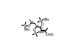 CC(C=O)=C[C@H](O[Si](C)(C)C(C)(C)C)[C@H](C[C@H](C)O[Si](C)(C)C(C)(C)C)O[Si](C)(C)C(C)(C)C